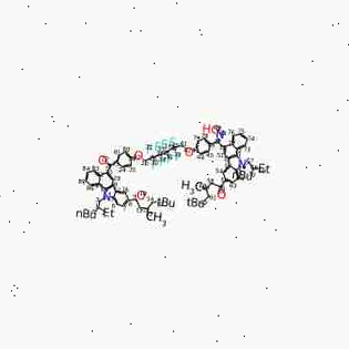 CCCCC(CC)Cn1c2ccc(C(=O)CC(C)CC(C)(C)C)cc2c2cc(C(=O)c3ccc(OCC(F)(F)C(F)(F)C(F)(F)C(F)(F)COc4ccc(C(=NO)c5cc6c7cc(C(=O)CC(C)CC(C)(C)C)ccc7n(CC(CC)CCCC)c6c6ccccc56)cc4)cc3)c3ccccc3c21